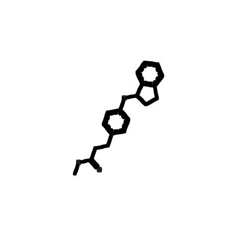 COC(=O)CCc1ccc(OC2CCc3ccccc32)cc1